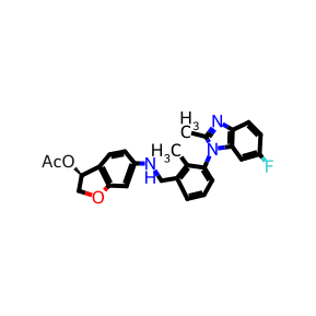 CC(=O)O[C@@H]1COc2cc(NCc3cccc(-n4c(C)nc5ccc(F)cc54)c3C)ccc21